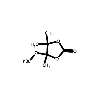 CCCCOC1(C)OC(=O)OC1(C)C